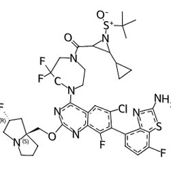 CC(C)(C)[S+]([O-])N1C(C(=O)N2CCN(c3nc(OC[C@@]45CCCN4C[C@H](F)C5)nc4c(F)c(-c5ccc(F)c6sc(N)nc56)c(Cl)cc34)CC(F)(F)C2)C1C1CC1